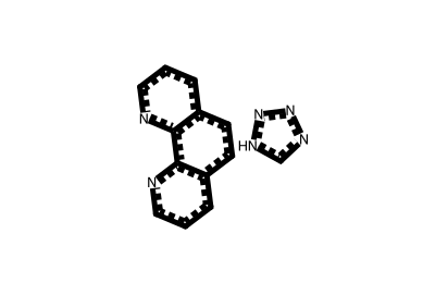 c1cnc2c(c1)ccc1cccnc12.c1nnn[nH]1